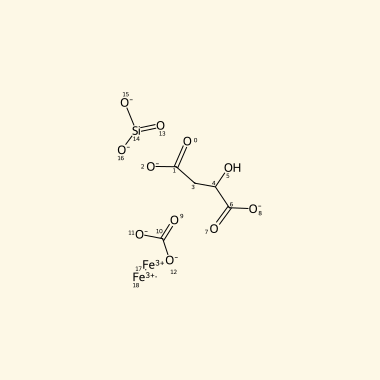 O=C([O-])CC(O)C(=O)[O-].O=C([O-])[O-].O=[Si]([O-])[O-].[Fe+3].[Fe+3]